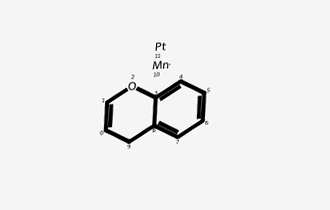 C1=COc2ccccc2C1.[Mn].[Pt]